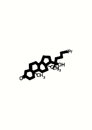 CC(C)CCC[C@](C)(O)C1CCC2C3CC=C4CC(=O)CC[C@]4(C)C3CC[C@@]21C